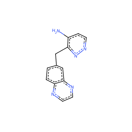 Nc1ccnnc1Cc1ccc2nccnc2c1